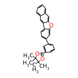 CC1(C)OB(c2cccc(-c3ccc4c(c3)oc3cc5ccccc5cc34)c2)OC1(C)C